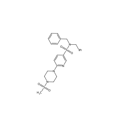 CC(C)CN(Cc1ccccc1)S(=O)(=O)c1ccc(N2CCN(S(C)(=O)=O)CC2)nc1